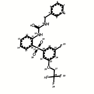 O=C(NCc1cccnc1)Nc1ccccc1S(=O)(=O)c1cc(F)cc(OCC(F)(F)F)c1